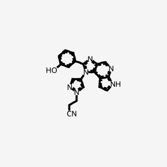 N#CCCn1cc(-n2c(-c3cccc(O)c3)nc3cnc4[nH]ccc4c32)cn1